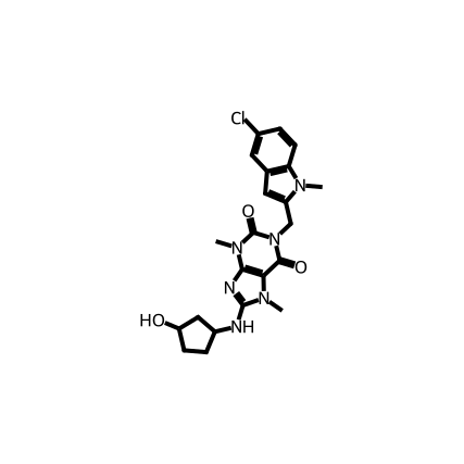 Cn1c(Cn2c(=O)c3c(nc(NC4CCC(O)C4)n3C)n(C)c2=O)cc2cc(Cl)ccc21